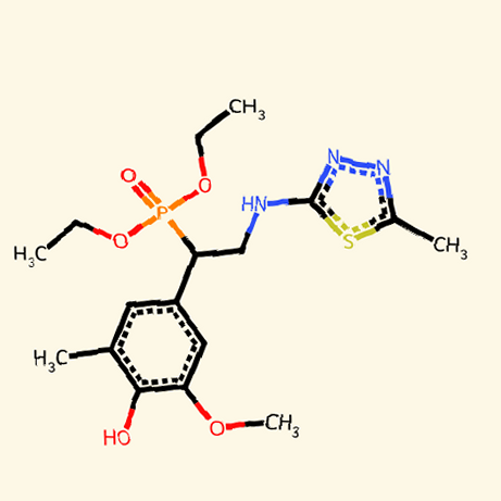 CCOP(=O)(OCC)C(CNc1nnc(C)s1)c1cc(C)c(O)c(OC)c1